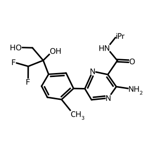 Cc1ccc(C(O)(CO)C(F)F)cc1-c1cnc(N)c(C(=O)NC(C)C)n1